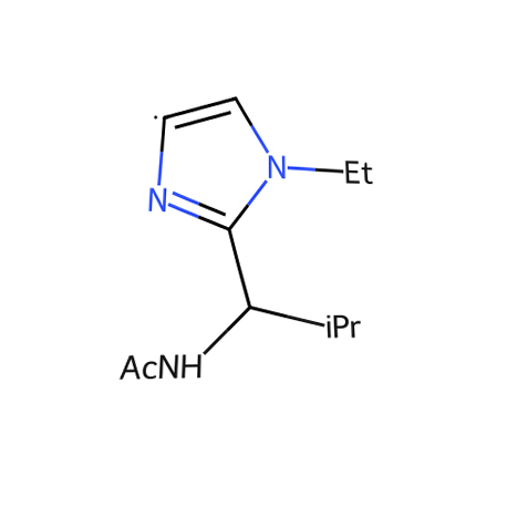 CCn1c[c]nc1C(NC(C)=O)C(C)C